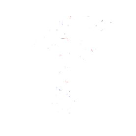 COC(=O)c1cc(NS(=O)(=O)c2ccc(C(C)(C)C)cc2)c(Oc2cccc(OC)c2)c(OCCOC(=O)Nc2ccccn2)c1